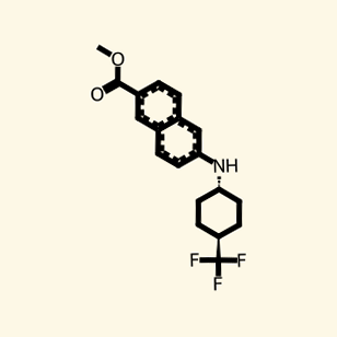 COC(=O)c1ccc2cc(N[C@H]3CC[C@H](C(F)(F)F)CC3)ccc2c1